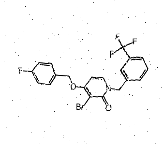 O=c1c(Br)c(OCc2ccc(F)cc2)ccn1Cc1cccc(C(F)(F)F)c1